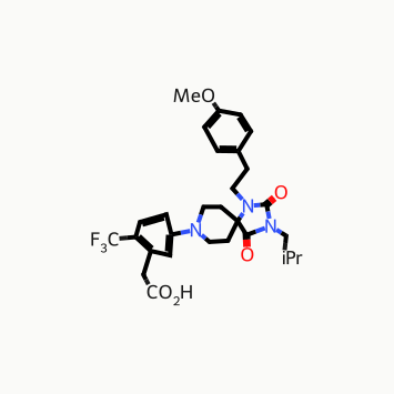 COc1ccc(CCN2C(=O)N(CC(C)C)C(=O)C23CCN(c2ccc(C(F)(F)F)c(CC(=O)O)c2)CC3)cc1